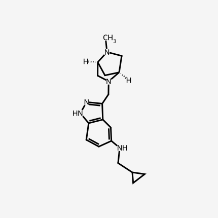 CN1C[C@@H]2C[C@H]1CN2Cc1n[nH]c2ccc(NCC3CC3)cc12